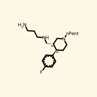 CCCCCN1CC[C@@H](c2ccc(F)cc2)[C@H](CNCCCN)C1